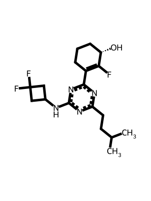 CC(C)CCc1nc(NC2CC(F)(F)C2)nc(C2=C(F)[C@@H](O)CCC2)n1